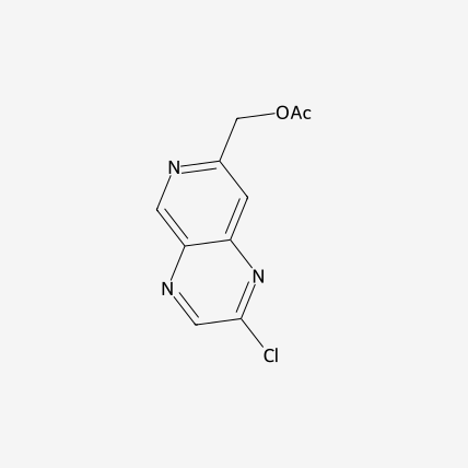 CC(=O)OCc1cc2nc(Cl)cnc2cn1